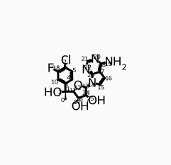 C[C@@](O)(c1ccc(Cl)c(F)c1)[C@H]1O[C@@H](n2ccc3c(N)ncnc32)C(O)[C@@H]1O